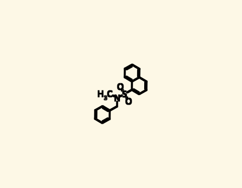 CN(Cc1ccccc1)S(=O)(=O)c1cccc2ccccc12